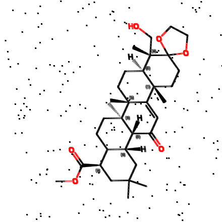 COC(=O)[C@@H]1CC(C)(C)C[C@@H]2C1CC[C@]1(C)[C@@H]2C(=O)C=C2[C@@]3(C)CCC4(OCCO4)[C@@](C)(CO)[C@@H]3CC[C@]21C